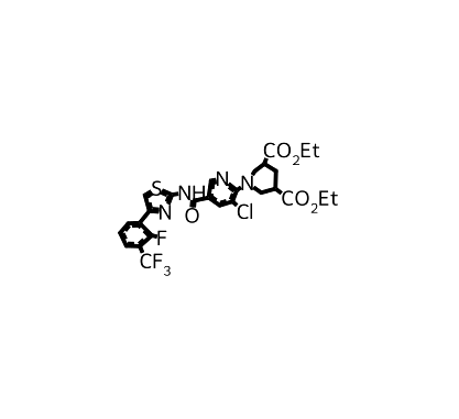 CCOC(=O)C1CC(C(=O)OCC)CN(c2ncc(C(=O)Nc3nc(-c4cccc(C(F)(F)F)c4F)cs3)cc2Cl)C1